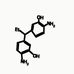 CCC(c1ccc(N)c(O)c1)c1ccc(N)c(O)c1